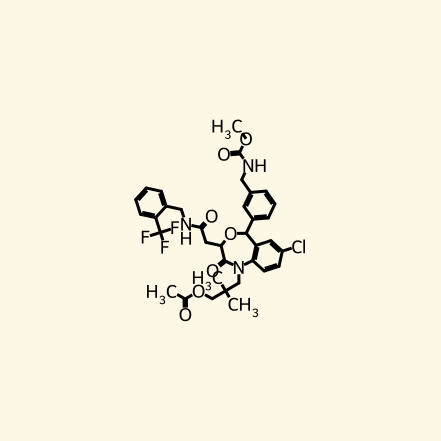 COC(=O)NCc1cccc(C2OC(CC(=O)NCc3ccccc3C(F)(F)F)C(=O)N(CC(C)(C)COC(C)=O)c3ccc(Cl)cc32)c1